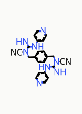 N#CN(Cc1ccc(CN(C#N)C(=N)Nc2ccncc2)cc1)C(=N)Nc1ccncc1